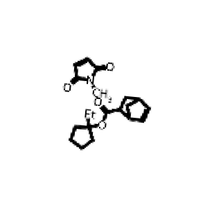 CCC1(OC(=O)C2CC3C=CC2C3)CCCC1.CN1C(=O)C=CC1=O